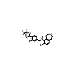 C[C@@H](NC(=O)c1ccc(CNc2c(Cl)ccc3c2CCNCC3)cc1F)C(F)(F)F